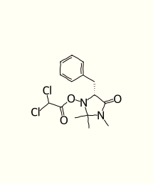 CN1C(=O)[C@@H](Cc2ccccc2)N(OC(=O)C(Cl)Cl)C1(C)C